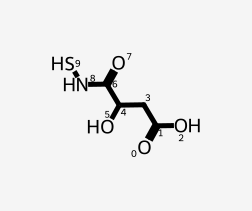 O=C(O)CC(O)C(=O)NS